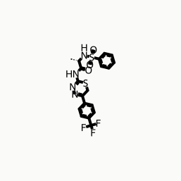 C[C@H](NS(=O)(=O)c1ccccc1)C(=O)NC1=NN=C(c2ccc(C(F)(F)F)cc2)CS1